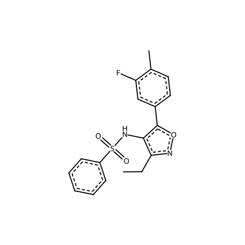 CCc1noc(-c2ccc(C)c(F)c2)c1NS(=O)(=O)c1ccccc1